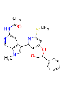 CSc1cc2c(c(-c3cn(C)c4cnc(NC(C)=O)cc34)n1)OCC(c1ccccc1)O2